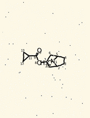 CN1C2CCC1CC(OC(=O)C1CC1)C2